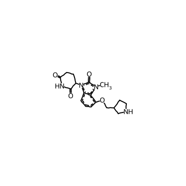 Cn1c(=O)n(C2CCC(=O)NC2=O)c2cccc(OCC3CCNC3)c21